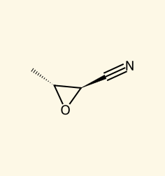 C[C@H]1O[C@@H]1C#N